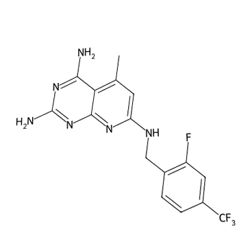 Cc1cc(NCc2ccc(C(F)(F)F)cc2F)nc2nc(N)nc(N)c12